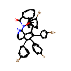 CC1(C)c2ccccc2C(=O)N1c1nccc2c(-c3ccc(Br)cc3)c(-c3ccc(Br)cc3)c(-c3ccc(Br)cc3)c(-c3ccc(Br)cc3)c12